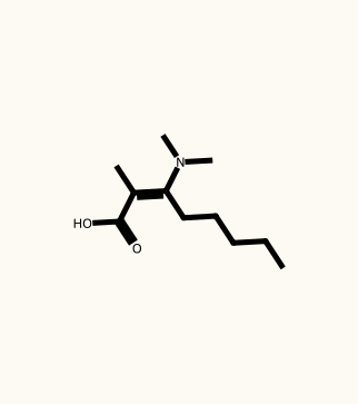 CCCCC/C(=C(/C)C(=O)O)N(C)C